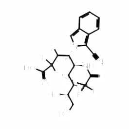 N#Cc1c2ccccc2cn1[C@H]1C(F)C(F)(C(=O)O)O[C@@H]([C@H](O)[C@H](O)CO)[C@@H]1NC(=O)C(F)(F)F